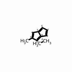 CC.CC1=CC2=CC=CC2=C1